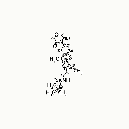 CCc1nn(CCNC(=O)OC(C)(C)C)c(CC)c1Sc1ccc(N2C(=O)COCC2=O)cc1